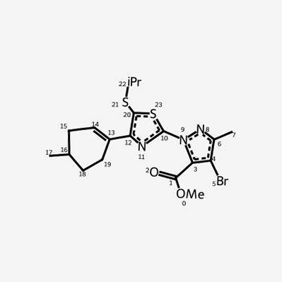 COC(=O)c1c(Br)c(C)nn1-c1nc(C2=CCC(C)CC2)c(SC(C)C)s1